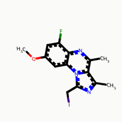 COc1cc(F)c2nc(C)c3c(C)nc(CI)n3c2c1